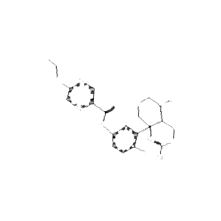 NC1=NC2(c3cc(NC(=O)c4cnc(OCF)cn4)ccc3F)COC[C@@H](F)C2CS1